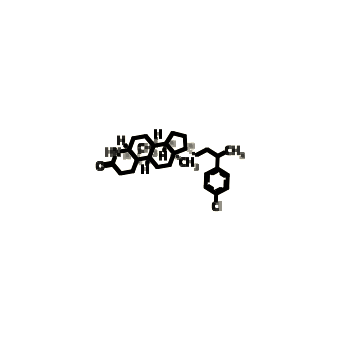 CC(CC[C@H]1CC[C@H]2[C@@H]3CC[C@H]4NC(=O)CC[C@]4(C)[C@H]3CC[C@]12C)c1ccc(Cl)cc1